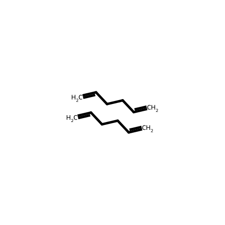 C=CCCC=C.C=CCCC=C